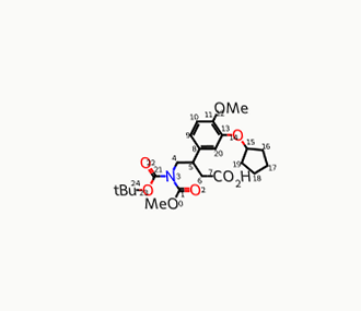 COC(=O)N(CC(CC(=O)O)c1ccc(OC)c(OC2CCCC2)c1)C(=O)OC(C)(C)C